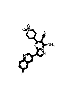 N#Cc1c(C2CCS(=O)(=O)CC2)nc2c(-c3cnc4ccc(F)cc4c3)cnn2c1N